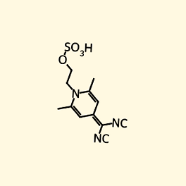 [C-]#[N+]C([N+]#[C-])=C1C=C(C)N(CCOS(=O)(=O)O)C(C)=C1